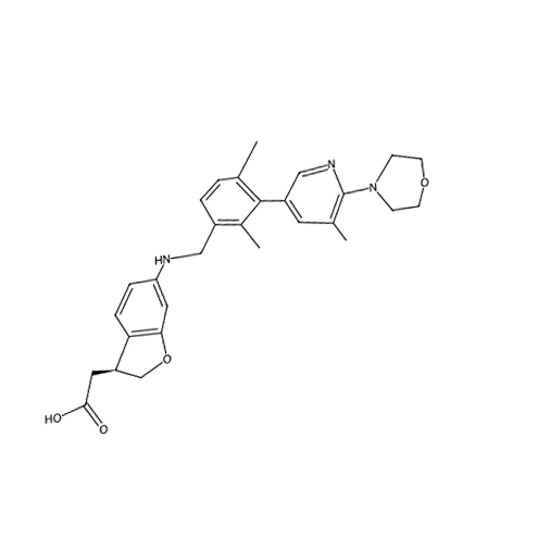 Cc1cc(-c2c(C)ccc(CNc3ccc4c(c3)OC[C@H]4CC(=O)O)c2C)cnc1N1CCOCC1